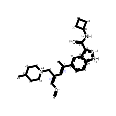 C=N/C=C(\C=C(/C)c1ccc2[nH]nc(C(=O)NC3CCC3)c2c1)CN1CCC(C)CC1